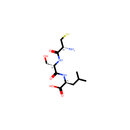 CC(C)C[C@H](NC(=O)[C@H](CO)NC(=O)[C@@H](N)CS)C(=O)O